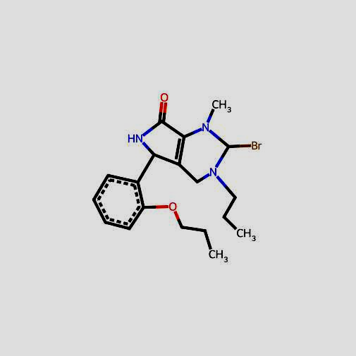 CCCOc1ccccc1C1NC(=O)C2=C1CN(CCC)C(Br)N2C